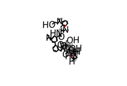 COc1c(CN2O[C@@H](CO)[C@@H]([C@H](C)O)[C@H]2C(=O)N[C@H]2C[C@H]3C[C@H](C3C)[C@@H]2C)cccc1-c1cc(C(=O)N[C@@H](Cc2ccccc2N(C)CCO)CN(C)C)cc(N(C)C)c1